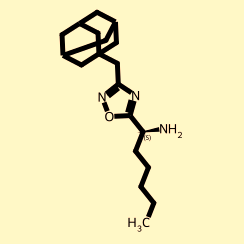 CCCCC[C@H](N)c1nc(CC23CC4CC(CC(C4)C2)C3)no1